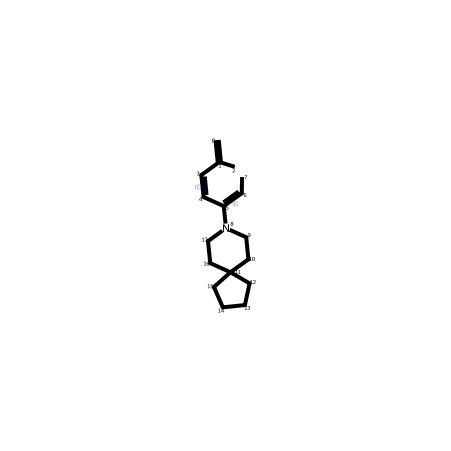 C=C(C)/C=C\C(=C/C)N1CCC2(CCCC2)CC1